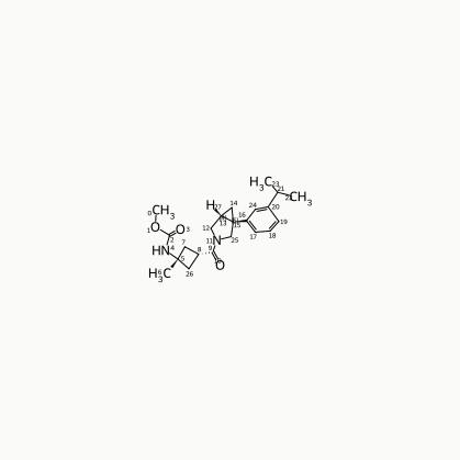 COC(=O)N[C@]1(C)C[C@H](C(=O)N2C[C@@H]3C[C@]3(c3cccc(C(C)C)c3)C2)C1